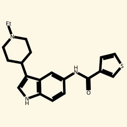 CCN1CCC(c2c[nH]c3ccc(NC(=O)c4ccsc4)cc23)CC1